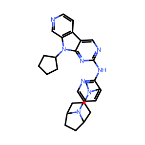 CN(C)C1CC2CCC(C1)N2c1ccc(Nc2ncc3c4ccncc4n(C4CCCC4)c3n2)nc1